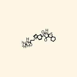 [2H]C([2H])([2H])NC(=O)CCn1ccc2cc(-n3c(=O)[nH]c4sc5c(c4c3=O)CCCC5)ccc21